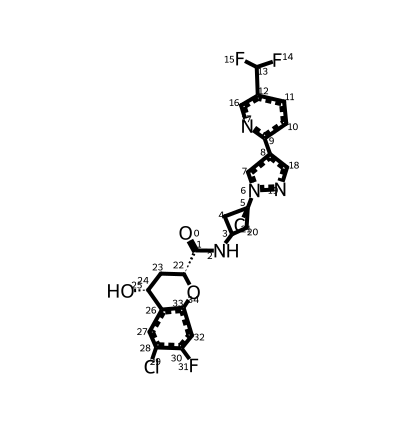 O=C(NC12CC(n3cc(-c4ccc(C(F)F)cn4)cn3)(C1)C2)[C@H]1C[C@@H](O)c2cc(Cl)c(F)cc2O1